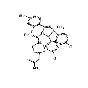 CCOc1cc(C(C)(C)C)ccc1C1=N[C@@](C)(c2ccc(Cl)cc2)[C@@H](c2ccc(Cl)cc2)N1C(=O)N1CCN(CC(N)=O)CC1